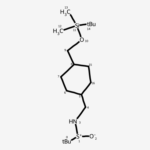 CC(C)(C)[S+]([O-])NCC1CCC(CO[Si](C)(C)C(C)(C)C)CC1